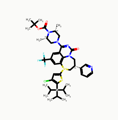 CC(C)[Si](c1sc([SH]2C[C@@H](c3cccnc3)Cn3c(=O)nc(N4C[C@@H](C)N(C(=O)OC(C)(C)C)[C@@H](C)C4)c4cc(C(F)(F)F)cc2c43)cc1Cl)(C(C)C)C(C)C